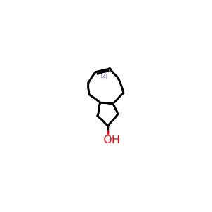 OC1CC2CC/C=C\CCC2C1